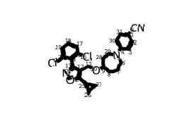 N#Cc1ccc(N2CCCC(OCc3c(-c4c(Cl)cccc4Cl)noc3C3CC3)CC2)cc1